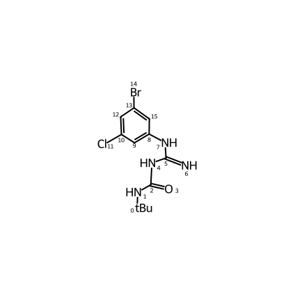 CC(C)(C)NC(=O)NC(=N)Nc1cc(Cl)cc(Br)c1